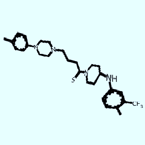 Cc1ccc(N2CCN(CCCC(=S)N3CCC(Nc4ccc(C)c(C(F)(F)F)c4)CC3)CC2)cc1